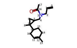 C=CCN(CC1CC1(C)C1CC=C(C)CC1)C(C)=O